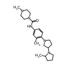 Cc1cc(NC(=O)N2CCN(C)CC2)ccc1N1CCC(N2CCCC2C)C1